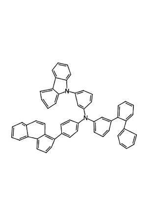 c1ccc(-c2ccccc2-c2cccc(N(c3ccc(-c4cccc5c4ccc4ccccc45)cc3)c3cccc(-n4c5ccccc5c5ccccc54)c3)c2)cc1